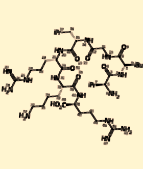 CC[C@H](C)[C@H](NC(=O)[C@@H](N)C(C)C)C(=O)NCC(=O)N[C@@H](CC(C)C)C(=O)N[C@@H](CCCNC(=N)N)C(=O)N[C@@H](CCCCN)C(=O)N[C@@H](CCCNC(=N)N)C(=O)O